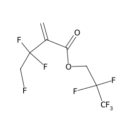 C=C(C(=O)OCC(F)(F)C(F)(F)F)C(F)(F)CF